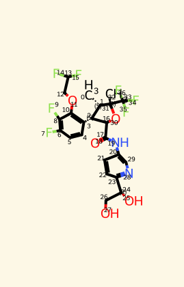 C[C@H]1[C@@H](c2ccc(F)c(F)c2OCC(F)F)C(C(=O)Nc2ccc([C@@H](O)CO)nc2)O[C@@]1(C)C(F)(F)F